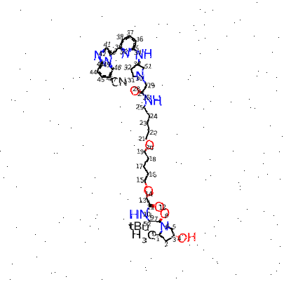 C[C@@H]1C[C@@H](O)CN1C(=O)[C@@H](NC(=O)COCCCCCOCCCCCNC(=O)CN1CCC(Nc2cccc(-c3cnc4ccc(C#N)cn34)n2)C1)C(C)(C)C